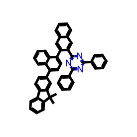 CC1(C)c2ccccc2-c2ccc(-c3ccc(-c4cc5ccccc5cc4-c4nc(-c5ccccc5)nc(-c5ccccc5)n4)c4ccccc34)cc21